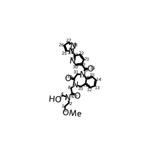 COCCN(CO)C(=O)CN1Cc2ccccc2N(C(=O)c2ccc(-n3cccn3)nc2)CC1=O